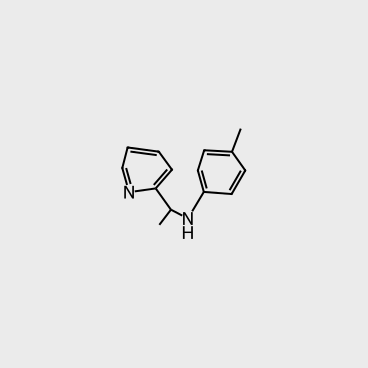 Cc1ccc(NC(C)c2ccccn2)cc1